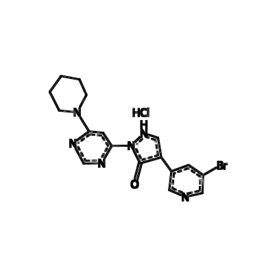 Cl.O=c1c(-c2cncc(Br)c2)c[nH]n1-c1cc(N2CCCCC2)ncn1